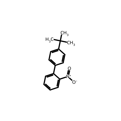 CC(C)(C)c1ccc(-c2ccccc2[N+](=O)[O-])cc1